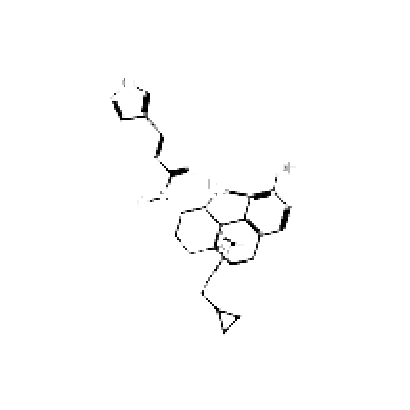 CN(C(=O)/C=C/c1ccoc1)[C@H]1CC[C@]2(O)C3Cc4ccc(O)c5c4[C@]2(CCN3CC2CC2)[C@@H]1O5